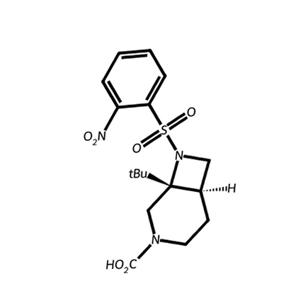 CC(C)(C)[C@]12CN(C(=O)O)CC[C@@H]1CN2S(=O)(=O)c1ccccc1[N+](=O)[O-]